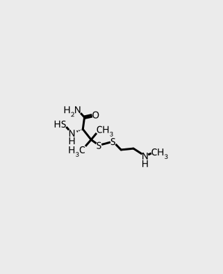 CNCCSSC(C)(C)[C@H](NS)C(N)=O